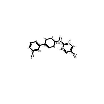 Clc1cccc(C2=CCC(Nc3ncc(Br)cn3)CC2)c1